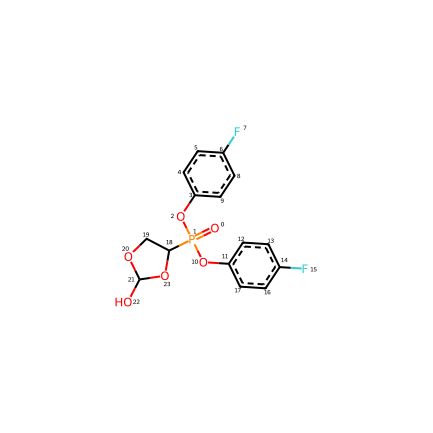 O=P(Oc1ccc(F)cc1)(Oc1ccc(F)cc1)C1COC(O)O1